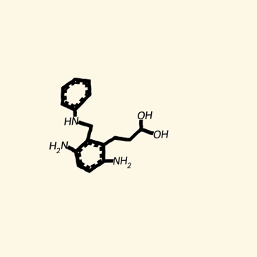 Nc1ccc(N)c(CNc2ccccc2)c1CCC(O)O